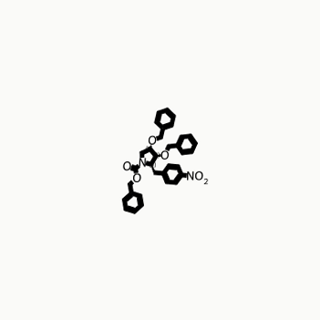 O=C(OCc1ccccc1)N1C[C@H](OCc2ccccc2)[C@@H](OCc2ccccc2)[C@H]1Cc1ccc([N+](=O)[O-])cc1